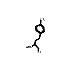 Cc1ccc(CCC(C=O)CO)cc1